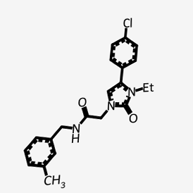 CCn1c(-c2ccc(Cl)cc2)cn(CC(=O)NCc2cccc(C)c2)c1=O